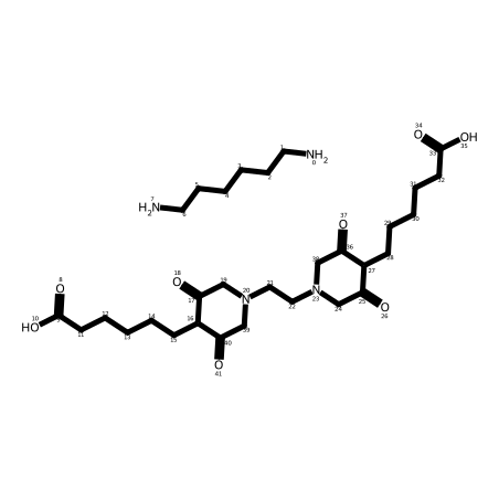 NCCCCCCN.O=C(O)CCCCCC1C(=O)CN(CCN2CC(=O)C(CCCCCC(=O)O)C(=O)C2)CC1=O